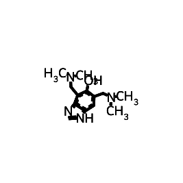 CN(C)Cc1cc2[nH]cnc2c(CN(C)C)c1O